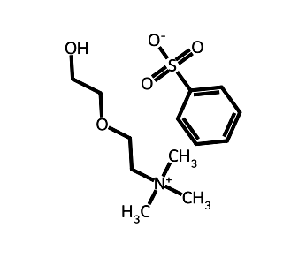 C[N+](C)(C)CCOCCO.O=S(=O)([O-])c1ccccc1